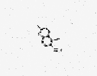 Cc1ccc2c(Br)c(C(=O)O)ccc2n1